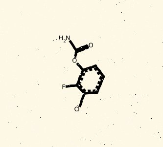 NC(=O)Oc1cccc(Cl)c1F